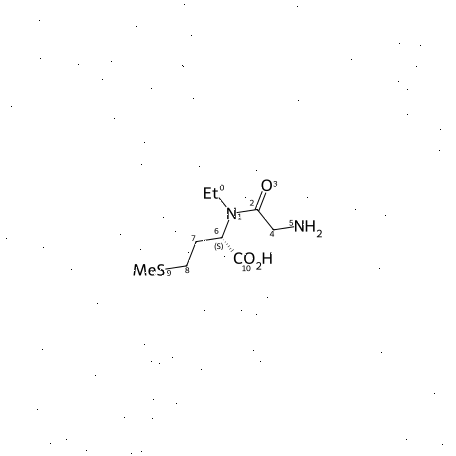 CCN(C(=O)CN)[C@@H](CCSC)C(=O)O